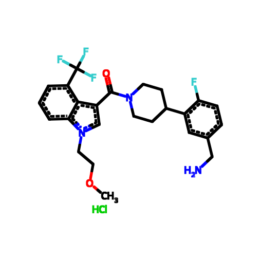 COCCn1cc(C(=O)N2CCC(c3cc(CN)ccc3F)CC2)c2c(C(F)(F)F)cccc21.Cl